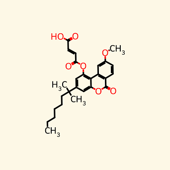 CCCCCCC(C)(C)c1cc(OC(=O)/C=C/C(=O)O)c2c(c1)oc(=O)c1ccc(OC)cc12